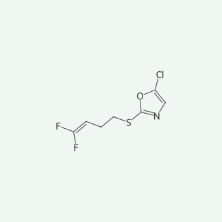 FC(F)=CCCSc1ncc(Cl)o1